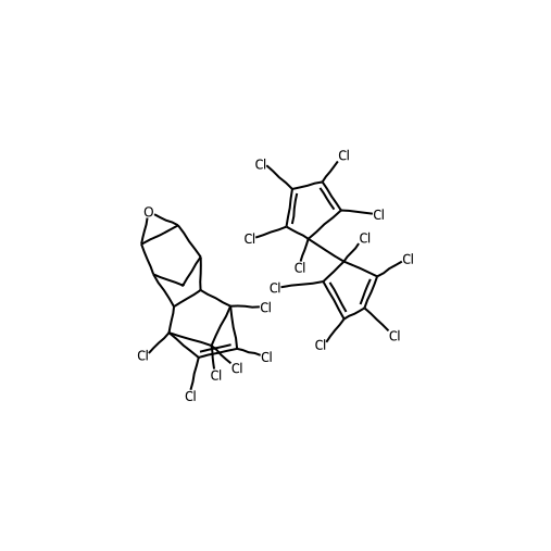 ClC1=C(Cl)C(Cl)(C2(Cl)C(Cl)=C(Cl)C(Cl)=C2Cl)C(Cl)=C1Cl.ClC1=C(Cl)C2(Cl)C3C4CC(C5OC45)C3C1(Cl)C2(Cl)Cl